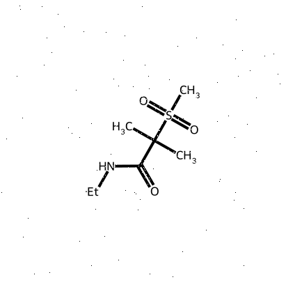 C[CH]NC(=O)C(C)(C)S(C)(=O)=O